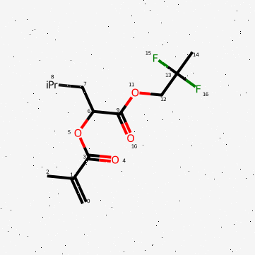 C=C(C)C(=O)OC(CC(C)C)C(=O)OCC(C)(F)F